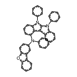 c1ccc(N(c2ccc3oc4ccccc4c3c2)c2cccc3c2c2c4ccccc4n(-c4ccccc4)c2n3-c2ccccc2)cc1